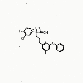 C#CC(C)(CCCc1cc(F)cc(Oc2ccccc2)n1)c1ccc(F)c(Cl)c1